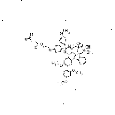 COc1ccc(C2(c3ccc(OCCOC(=O)CCC(=O)O)cc3)C=Cc3c4c(c5cc(-c6ccc(OC)cc6OC)c(OC)cc5c3O2)-c2ccccc2C42CC(C)(C)CC(C)(C)C2)cc1